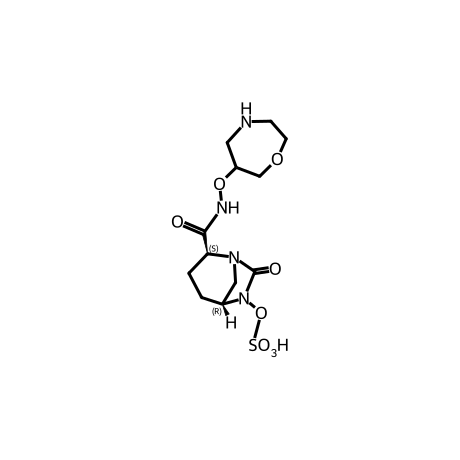 O=C(NOC1CNCCOC1)[C@@H]1CC[C@@H]2CN1C(=O)N2OS(=O)(=O)O